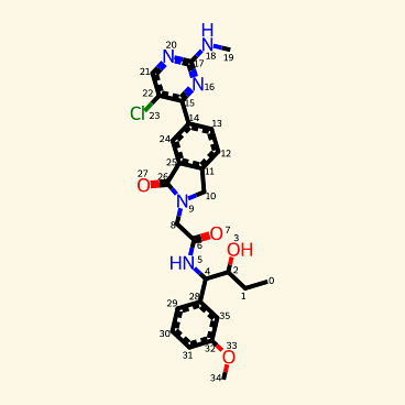 CCC(O)C(NC(=O)CN1Cc2ccc(-c3nc(NC)ncc3Cl)cc2C1=O)c1cccc(OC)c1